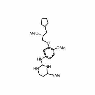 CNC1CCNC(Nc2ccc(OC)c(OC[C@@H](CN3CCCC3)OC)c2)N1